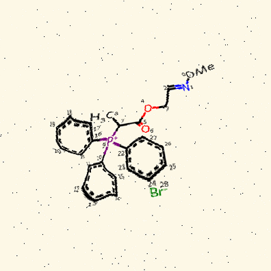 CON=CCOC(=O)C(C)[P+](c1ccccc1)(c1ccccc1)c1ccccc1.[Br-]